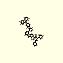 c1ccc(C2=NC(c3ccccc3)NC(c3ccc4c(c3)sc3cccc(-c5cccc6c5oc5cc(-n7c8ccccc8c8ccccc87)ccc56)c34)N2)cc1